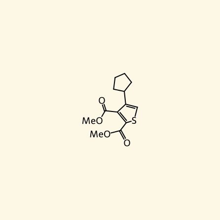 COC(=O)c1scc(C2CCCC2)c1C(=O)OC